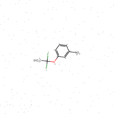 CCOC(=O)C(F)(F)Oc1cccc([N+](=O)[O-])c1